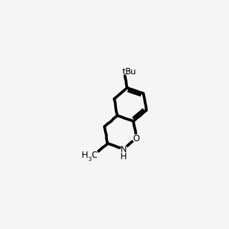 CC1CC2CC(C(C)(C)C)=CC=C2ON1